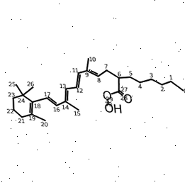 CCCCCCC(CC=C(C)C=CC=C(C)C=CC1=C(C)CCCC1(C)C)C(=O)OO